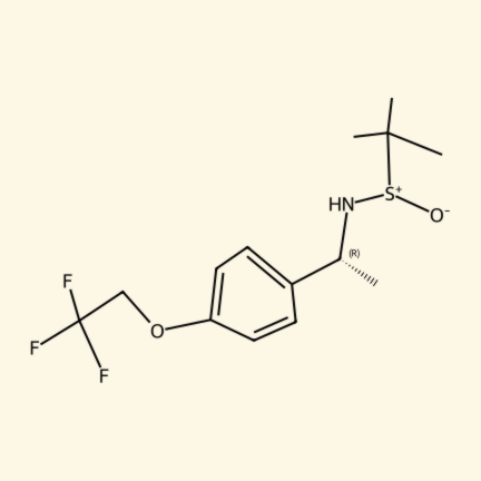 C[C@@H](N[S+]([O-])C(C)(C)C)c1ccc(OCC(F)(F)F)cc1